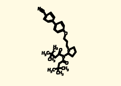 CC(C)(C)CC(=O)N(C(=O)CC(C)(C)C)C1CCCN1CCCOc1ccc(-c2ccc(C#N)cc2)cc1